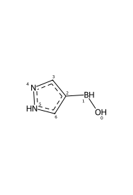 OBc1cn[nH]c1